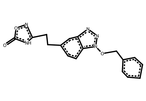 O=c1[nH]c(CCc2ccc3c(c2)nnn3OCc2ccccc2)no1